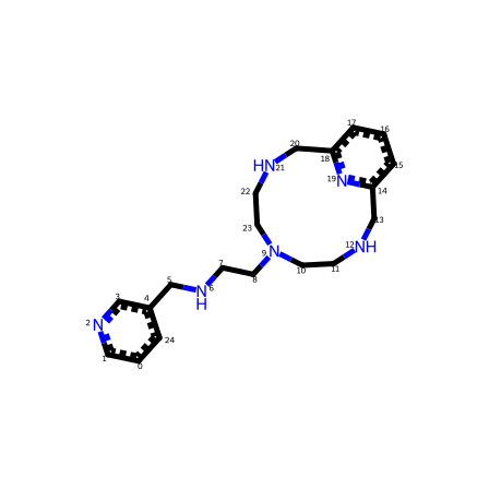 c1cncc(CNCCN2CCNCc3cccc(n3)CNCC2)c1